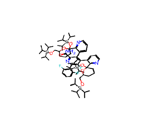 CC(C)[Si](OCC1CCCC(O[Si](C(C)C)(C(C)C)C(C)C)(c2ncccc2-c2c(C(N)=O)nc(-c3c(F)cccc3F)c(F)c2-c2cccnc2C2(O[Si](C(C)C)(C(C)C)C(C)C)CCCC(CO[Si](C(C)C)(C(C)C)C(C)C)O2)O1)(C(C)C)C(C)C